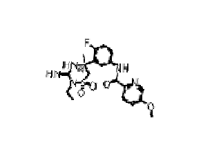 CCN1C(=N)N[C@](C)(c2cc(NC(=O)c3ccc(OC)cn3)ccc2F)CS1(=O)=O